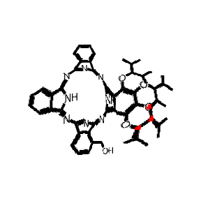 CC(C)C(Oc1c(OC(C(C)C)C(C)C)c(OC(C(C)C)C(C)C)c2c3nc4nc(nc5[nH]c(nc6nc(nc([nH]3)c2c1OC(C(C)C)C(C)C)-c1ccccc1-6)c1ccccc51)-c1cccc(CO)c1-4)C(C)C